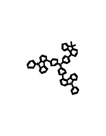 CC1(C)c2ccccc2-c2c(-c3ccc(N(c4ccc(-c5cccc6c5c5ccccc5n6-c5ccccc5)cc4)c4ccc(-c5cccc6c5c5ccccc5n6-c5ccccc5)cc4)cc3)cccc21